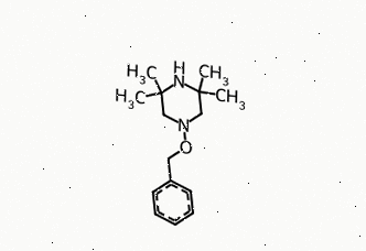 CC1(C)CN(OCc2ccccc2)CC(C)(C)N1